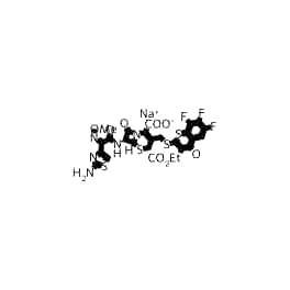 CCOC(=O)c1c(SCC2=C(C(=O)[O-])N3C(=O)[C@@H](NC(=O)/C(=N\OC)c4csc(N)n4)[C@H]3SC2)sc2c(F)c(F)c(F)cc2c1=O.[Na+]